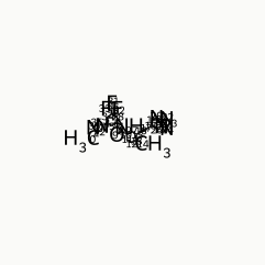 Cc1cn(-c2cc(NC(=O)c3ccc(C)c(C#Cc4cnc5ncnn5c4)c3)cc(C(F)(F)F)c2)cn1